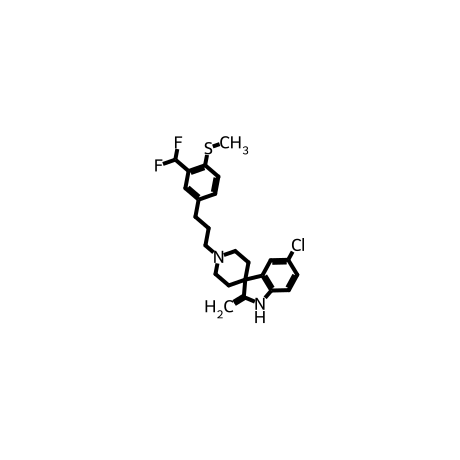 C=C1Nc2ccc(Cl)cc2C12CCN(CCCc1ccc(SC)c(C(F)F)c1)CC2